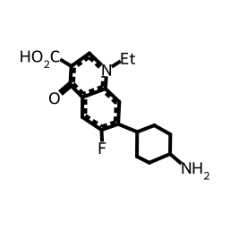 CCn1cc(C(=O)O)c(=O)c2cc(F)c(C3CCC(N)CC3)cc21